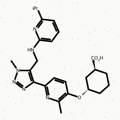 Cc1nc(-c2nnn(C)c2CNc2cccc(C(C)C)n2)ccc1O[C@H]1CCC[C@H](C(=O)O)C1